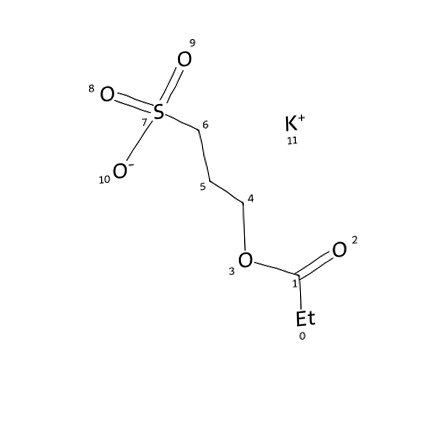 CCC(=O)OCCCS(=O)(=O)[O-].[K+]